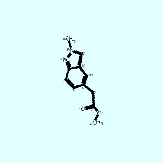 COC(=O)Cc1ccc2nn(C)cc2c1